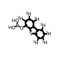 [2H]c1c([2H])c([2H])c2c(sc3c(OB(O)O)c([2H])c([2H])c([2H])c32)c1[2H]